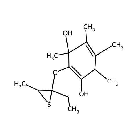 CCC1(OC2=C(O)C(C)C(C)=C(C)C2(C)O)SC1C